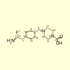 N[C@@H](F)Cc1ccc(CN2CCN(C(=O)O)CC2)cc1